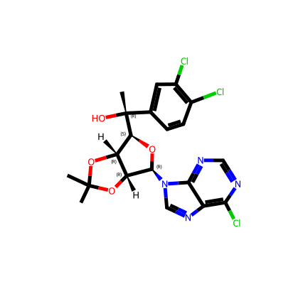 CC1(C)O[C@@H]2[C@H](O1)[C@@H]([C@](C)(O)c1ccc(Cl)c(Cl)c1)O[C@H]2n1cnc2c(Cl)ncnc21